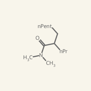 CCCCCCC(CCC)C(=O)N(C)C